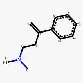 C=C(CCN(C)CC)c1ccccc1